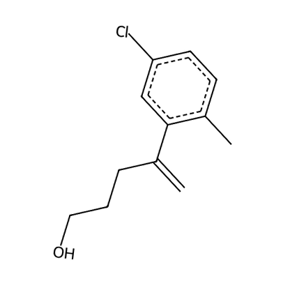 C=C(CCCO)c1cc(Cl)ccc1C